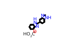 O=C(O)Oc1cccc2[nH]c(-c3ccc4[nH]cnc4c3)nc12